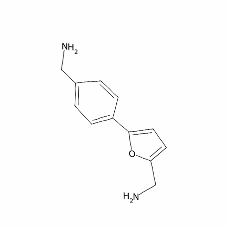 NCc1ccc(-c2ccc(CN)o2)cc1